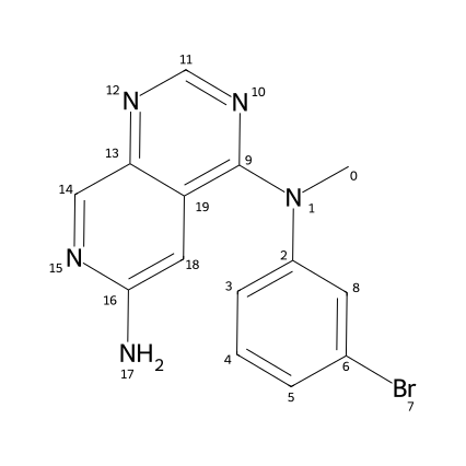 CN(c1cccc(Br)c1)c1ncnc2cnc(N)cc12